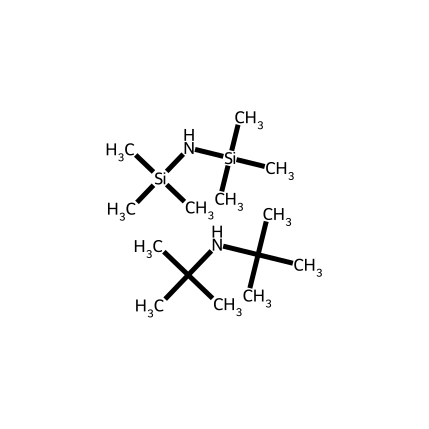 CC(C)(C)NC(C)(C)C.C[Si](C)(C)N[Si](C)(C)C